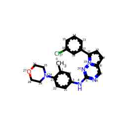 Cc1cc(Nc2ncc3ccc(-c4cccc(Cl)c4)n3n2)ccc1N1CCOCC1